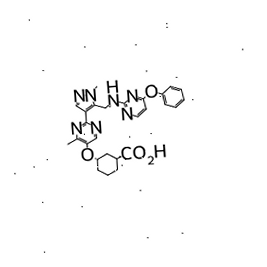 Cc1nc(-c2cnn(C)c2CNc2nccc(Oc3ccccc3)n2)ncc1O[C@H]1CCC[C@H](C(=O)O)C1